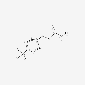 CC(C)(C)c1ccc(CC[C@H](N)C(=O)O)cc1